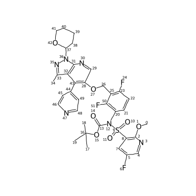 COc1ncc(F)cc1S(=O)(=O)N(C(=O)OC(C)(C)C)c1ccc(F)c(COc2cnc3c(c(C)nn3C3CCCCO3)c2-c2ccncc2)c1F